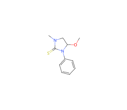 COC1CN(C)C(=S)N1c1ccccc1